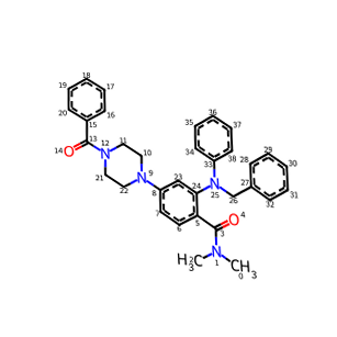 CN(C)C(=O)c1ccc(N2CCN(C(=O)c3ccccc3)CC2)cc1N(Cc1ccccc1)c1ccccc1